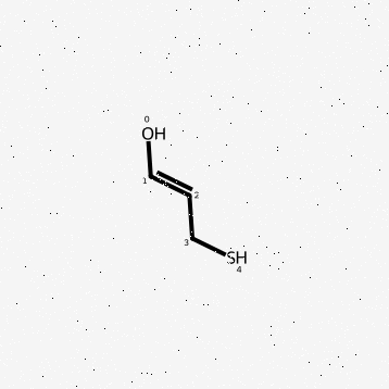 OC=CCS